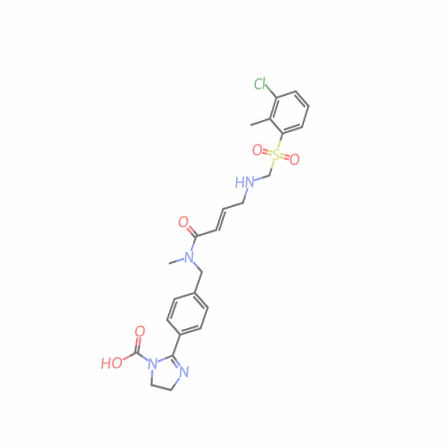 Cc1c(Cl)cccc1S(=O)(=O)CNCC=CC(=O)N(C)Cc1ccc(C2=NCCN2C(=O)O)cc1